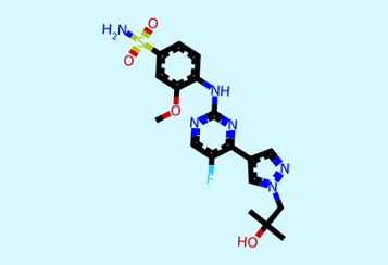 COc1cc(S(N)(=O)=O)ccc1Nc1ncc(F)c(-c2cnn(CC(C)(C)O)c2)n1